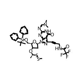 CSS[C@@H](C)OC1C[C@H](n2nc(C#CCNC(=O)C(F)(F)F)c3c(=O)[nH]c(/N=C\N(C)C)nc32)O[C@@H]1CO[Si](c1ccccc1)(c1ccccc1)C(C)(C)C